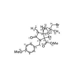 C=C1C(=O)N(Cc2ccc(OC)cc2)C(CC)(C(=O)OC)[C@@]1(C)O[Si](C)(C)CBr